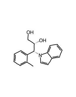 Cc1ccccc1[C@H]([C@@H](O)CO)n1ccc2ccccc21